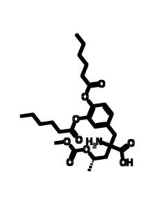 CCCCCC(=O)Oc1ccc(CC(N)(C[C@H](C)OC(=O)OC)C(=O)O)cc1OC(=O)CCCCC